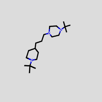 CC(C)(C)N1CCC(CCCN2CCN(C(C)(C)C)CC2)CC1